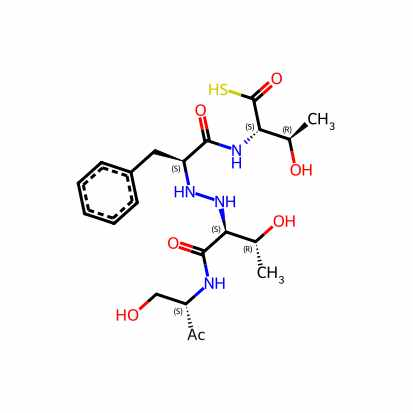 CC(=O)[C@H](CO)NC(=O)[C@@H](NN[C@@H](Cc1ccccc1)C(=O)N[C@H](C(=O)S)[C@@H](C)O)[C@@H](C)O